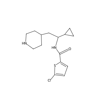 O=C(NC(CC1CCNCC1)C1CC1)c1ccc(Cl)s1